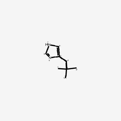 CC(C)(C)[CH]c1c[nH]cn1